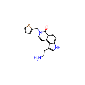 NCCc1c[nH]c2ccc3c(=O)n(Cc4cccs4)ccc3c12